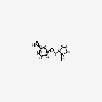 CNc1cc(OCC2CCCN2)ccn1